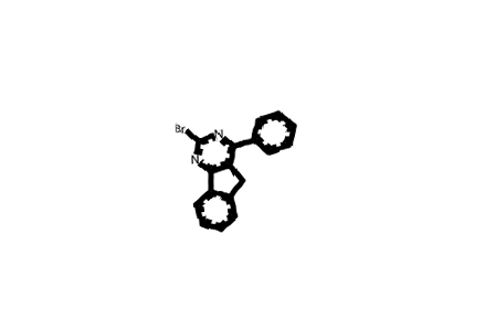 Brc1nc(-c2ccccc2)c2c(n1)-c1ccccc1C2